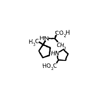 CC(NC1(C)CCCC1)C(=O)O.O=C(O)C1CCCN1